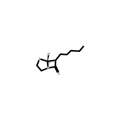 CCCCCC1C(=S)N2CCS[C@H]12